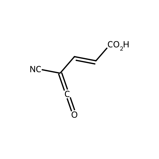 N#CC(=C=O)C=CC(=O)O